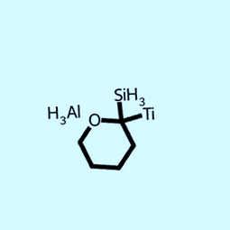 [AlH3].[SiH3][C]1([Ti])CCCCO1